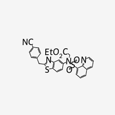 CCOC(=O)CN(c1ccc2sc(Cc3ccc(C#N)cc3)nc2c1)S(=O)(=O)c1cccc2cccnc12